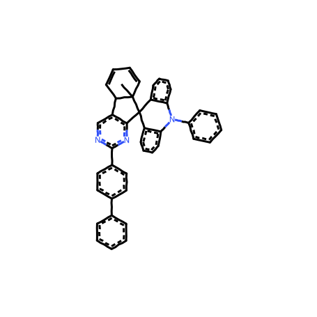 CC12C=CC=CC1c1cnc(-c3ccc(-c4ccccc4)cc3)nc1C21c2ccccc2N(c2ccccc2)c2ccccc21